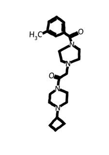 Cc1cccc(C(=O)N2CCN(CC(=O)N3CCN(C4CCC4)CC3)CC2)c1